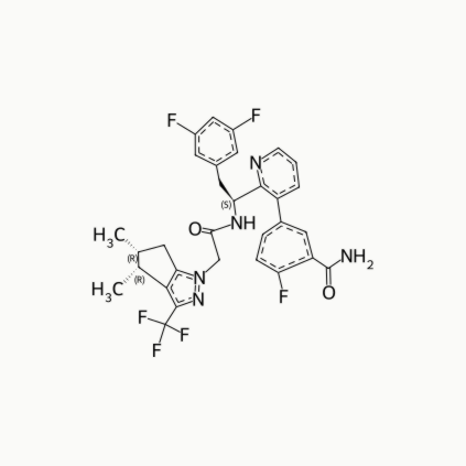 C[C@@H]1Cc2c(c(C(F)(F)F)nn2CC(=O)N[C@@H](Cc2cc(F)cc(F)c2)c2ncccc2-c2ccc(F)c(C(N)=O)c2)[C@@H]1C